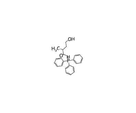 CC(CCO)C(=O)C[PH](c1ccccc1)(c1ccccc1)c1ccccc1